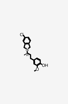 COc1cc(CC[C@@H](C)N2Cc3ccc(Cl)cc3C2)ccc1O